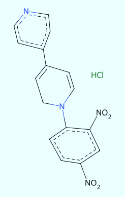 Cl.O=[N+]([O-])c1ccc(N2C=CC(c3ccncc3)=CC2)c([N+](=O)[O-])c1